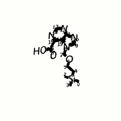 C[Si](C)(C)CCOCn1cnc2ncnc(C(=O)O)c21